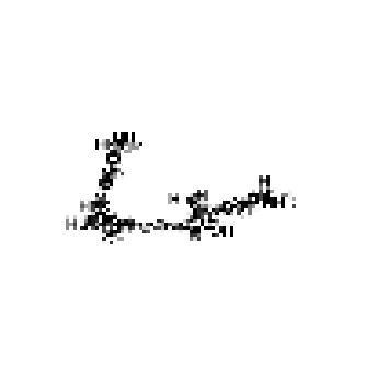 N=C(N)Nc1ccc(C(=O)Oc2ccc(COC(=O)N[C@@H](CC(=O)O)C(=O)N[C@@H](CC(=O)O)C(=O)NCCOCCOCCOCCOCCNC(=O)[C@H](CC(=O)O)NC(=O)C(CC(=O)O)NC(=O)OCc3ccc(OC(O)c4ccc(NC(=N)N)cc4)cc3)cc2)cc1